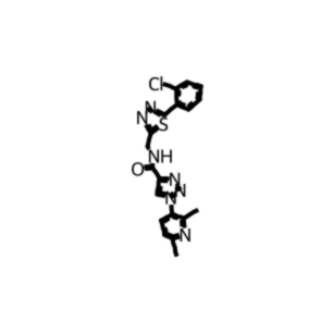 Cc1ccc(-n2cc(C(=O)NCc3nnc(-c4ccccc4Cl)s3)nn2)c(C)n1